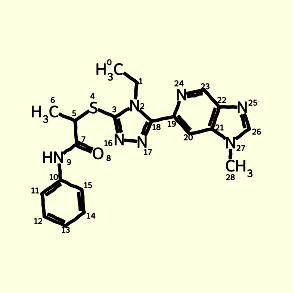 CCn1c(SC(C)C(=O)Nc2ccccc2)nnc1-c1cc2c(cn1)ncn2C